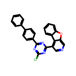 Clc1nc(-c2ccc(-c3ccccc3)cc2)nc(-c2cncc3oc4ccccc4c23)n1